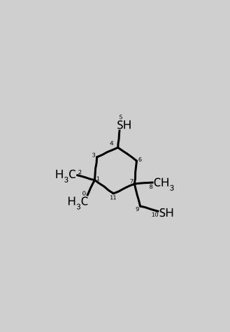 CC1(C)CC(S)CC(C)(CS)C1